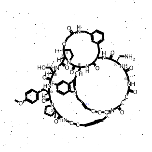 COc1ccc(C[C@@H]2NC(=O)[C@H]([C@@H](C)O)NC(=O)[C@@H]3[C@@H]4CCN3C(=O)[C@@H]3Cc5cn(c6ccc(F)cc56)C/C=C/CCCN(Cc5ccc(cc5)CCNC(=O)[C@]5(C)CCCN5C2=O)C(=O)CCC(=O)N[C@@H](C)C(=O)N[C@H](CN)C(=O)NC(Cc2cccc(c2)CNC(=O)CO4)C(=O)N3)cc1